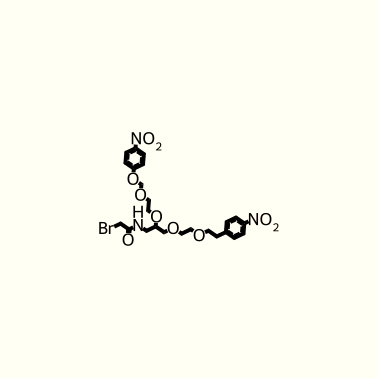 O=C(CBr)NCC(COCCOCCc1ccc([N+](=O)[O-])cc1)OCCOCOc1ccc([N+](=O)[O-])cc1